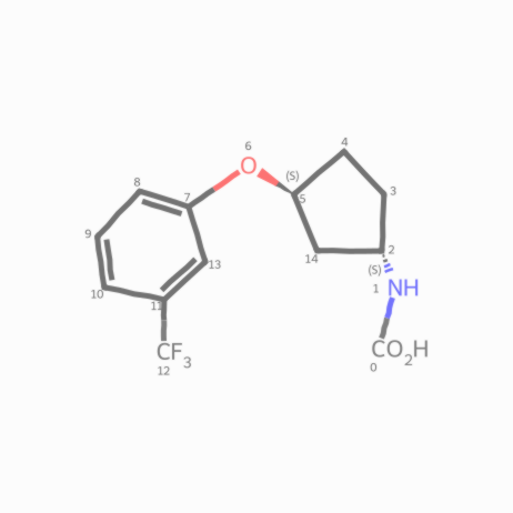 O=C(O)N[C@H]1CC[C@H](Oc2cccc(C(F)(F)F)c2)C1